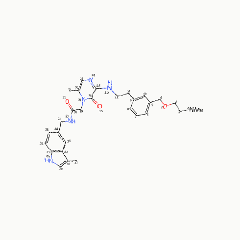 CNCCOCc1cccc(CCNc2ncc(C)n(CC(=O)NCc3ccc4[nH]cc(C)c4c3)c2=O)c1